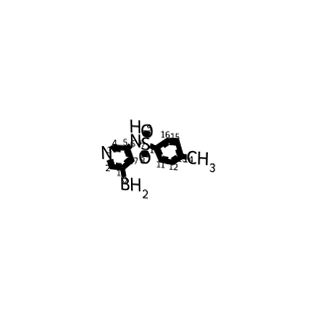 Bc1cncc(NS(=O)(=O)c2ccc(C)cc2)c1